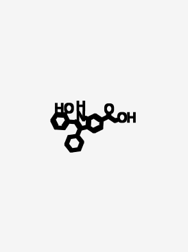 O=C(CO)c1ccc2c(C3CCCCC3)c(-c3ccccc3O)[nH]c2c1